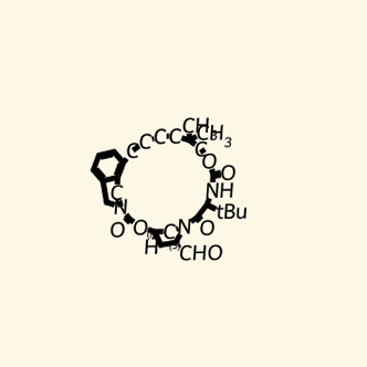 CC1(C)CCCCc2cccc3c2CN(C3)C(=O)O[C@@H]2C[C@@H](C=O)N(C2)C(=O)C(C(C)(C)C)NC(=O)OC1